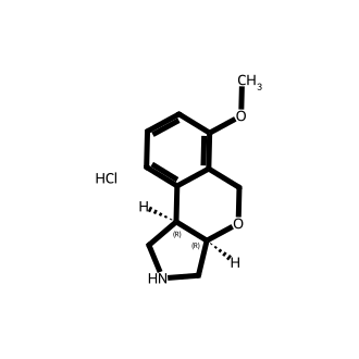 COc1cccc2c1CO[C@H]1CNC[C@@H]21.Cl